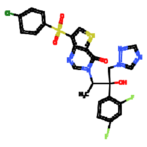 CC(n1cnc2c(S(=O)(=O)c3ccc(Cl)cc3)csc2c1=O)C(O)(Cn1cncn1)c1ccc(F)cc1F